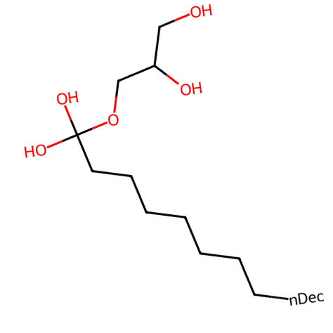 CCCCCCCCCCCCCCCCCC(O)(O)OCC(O)CO